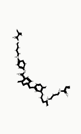 C=CC(=O)OCCCOC(=C)/C=C\Cc1cc(Cc2ccc(C(=O)Oc3ccc(OCCCCOC(=O)C(=C)C)cc3)c(C)c2)ccc1C